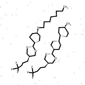 CCCCCCCCO[C@H]1CC[C@H]([C@H]2OC[C@H](CCCC(F)(F)F)CO2)CC1.C[C@H]1CC[C@H]([C@H]2CC[C@H]([C@H]3OC[C@H](CCCC(F)(F)F)CO3)CC2)CC1